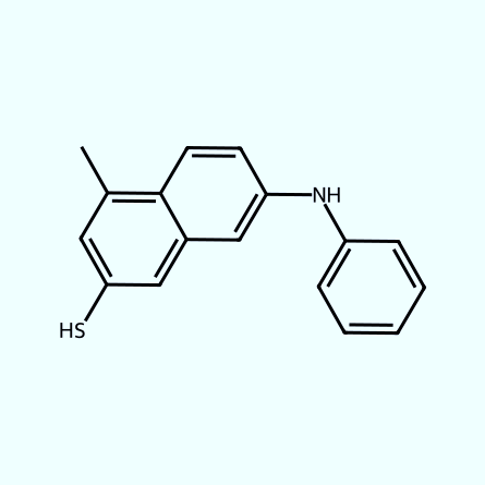 Cc1cc(S)cc2cc(Nc3ccccc3)ccc12